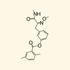 CNC(=O)C(Cc1cccc(OC(=O)c2cc(C)ccc2C)c1)=NOC